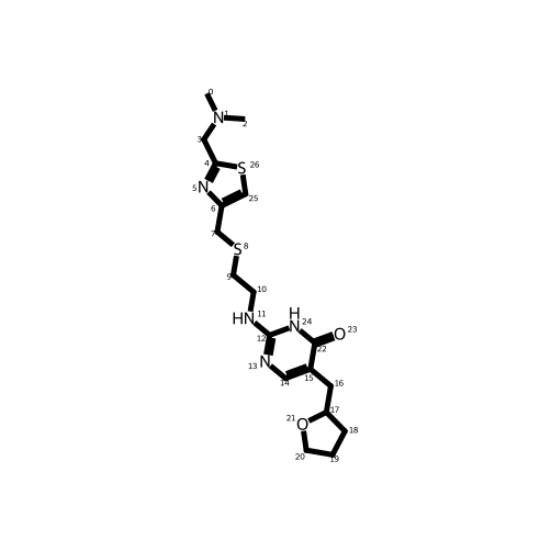 CN(C)Cc1nc(CSCCNc2ncc(CC3CCCO3)c(=O)[nH]2)cs1